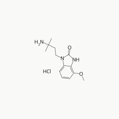 COc1cccc2c1[nH]c(=O)n2CCC(C)(C)N.Cl